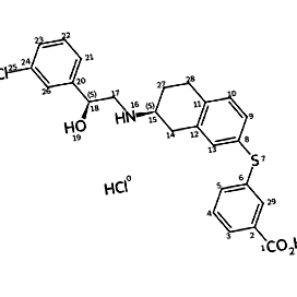 Cl.O=C(O)c1cccc(Sc2ccc3c(c2)C[C@@H](NC[C@@H](O)c2cccc(Cl)c2)CC3)c1